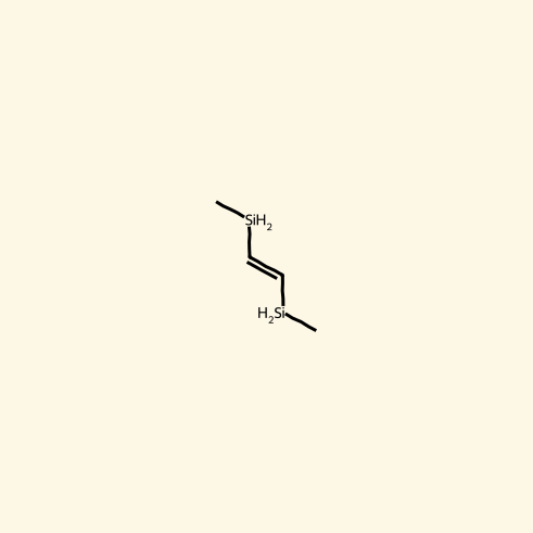 C[SiH2]C=C[SiH2]C